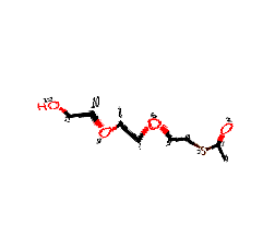 CC(=O)SCCOCCOCCO